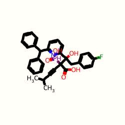 CC(C)C#CC(C(=O)O)([PH](=O)O)C(O)(Cc1ccc(F)cc1)c1cccc(C(c2ccccc2)c2ccccc2)n1